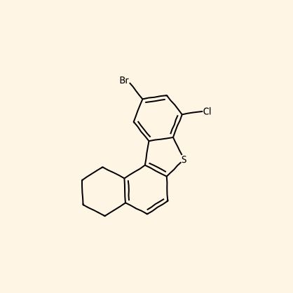 Clc1cc(Br)cc2c1sc1ccc3c(c12)CCCC3